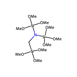 CO[Si](CN([Si](OC)(OC)OC)[Si](OC)(OC)OC)(OC)OC